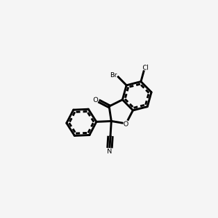 N#CC1(c2ccccc2)Oc2ccc(Cl)c(Br)c2C1=O